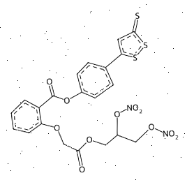 O=C(COc1ccccc1C(=O)Oc1ccc(-c2cc(=S)ss2)cc1)OCC(CO[N+](=O)[O-])O[N+](=O)[O-]